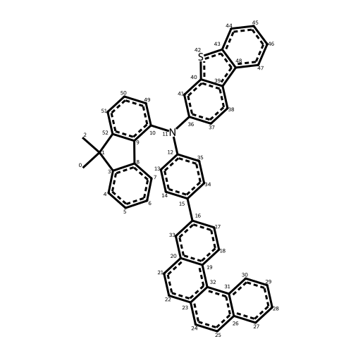 CC1(C)c2ccccc2-c2c(N(c3ccc(-c4ccc5c(ccc6ccc7ccccc7c65)c4)cc3)c3ccc4c(c3)sc3ccccc34)cccc21